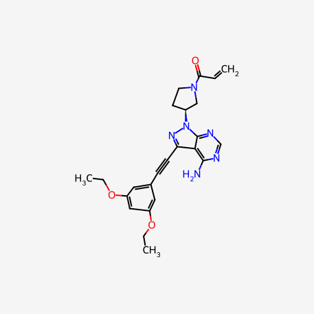 C=CC(=O)N1CC[C@H](n2nc(C#Cc3cc(OCC)cc(OCC)c3)c3c(N)ncnc32)C1